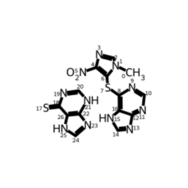 Cn1cnc([N+](=O)[O-])c1Sc1ncnc2nc[nH]c12.S=c1nc[nH]c2nc[nH]c12